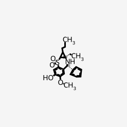 CCCC1C2[C@]1(CC)N[C@H](c1ccccc1)c1cc(OC)c(O)cc1S2(=O)=O